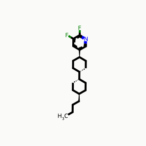 CCCC[C@H]1CC[C@H]([C@H]2CC[C@H](c3cnc(F)c(F)c3)CC2)CC1